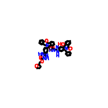 O=C(Nc1nc2cc(C3(OC(=O)Nc4nc5cc(C6(O)c7ccccc7C(=O)N6Cc6ccccc6)ccc5[nH]4)c4ccccc4C(=O)N3Cc3ccccc3)ccc2[nH]1)OCC1CCCO1